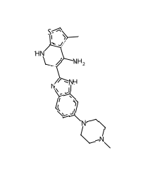 Cc1csc2c1C(N)=C(c1nc3ccc(N4CCN(C)CC4)cc3[nH]1)CN2